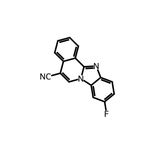 N#Cc1cn2c3cc(F)ccc3nc2c2ccccc12